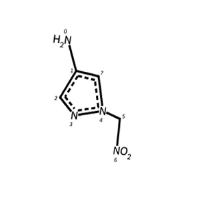 Nc1cnn(C[N+](=O)[O-])c1